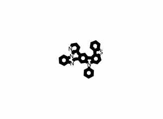 c1ccc(-n2c3cc4c(cc3c3c5c(ccc32)sc2ccccc25)c2cccnc2n2c3ccccc3nc42)cc1